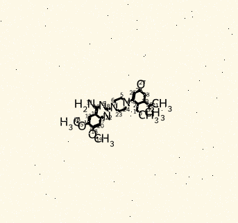 CCC1C(N2CCN(c3nc(N)c4cc(OC)c(OC)cc4n3)CC2)=CC(=O)CC1C(C)C